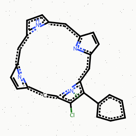 Clc1c(-c2ccccc2)c2cc3nc(cc4ccc(cc5nc(cc1n2Cl)C=C5)[nH]4)C=C3